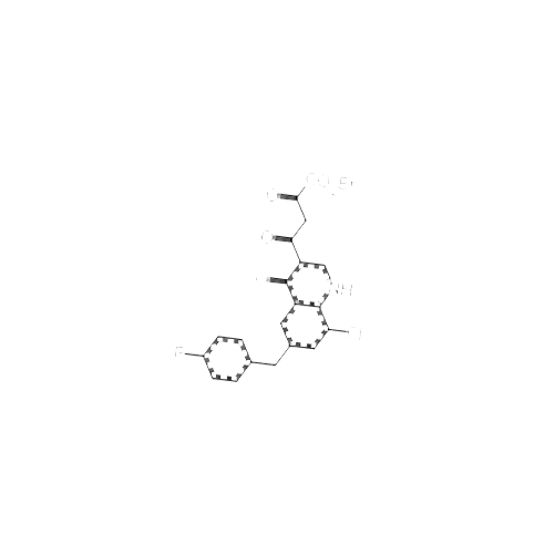 CCOC(=O)C(=O)CC(=O)c1c[nH]c2c(Cl)cc(Cc3ccc(F)cc3)cc2c1=O